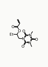 C=CC(=O)OC(CC)Cn1c(=O)n(C)c(=O)n(C)c1=O